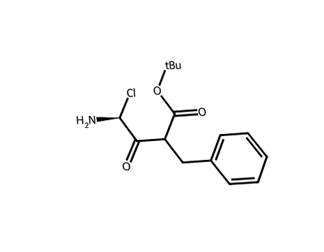 CC(C)(C)OC(=O)C(Cc1ccccc1)C(=O)[C@@H](N)Cl